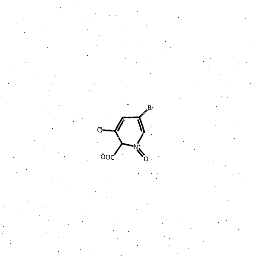 O=C([O-])C1C(Cl)=CC(Br)=C[N+]1=O